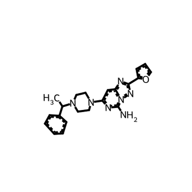 CC(c1ccccc1)N1CCN(c2cc3nc(-c4ccco4)nn3c(N)n2)CC1